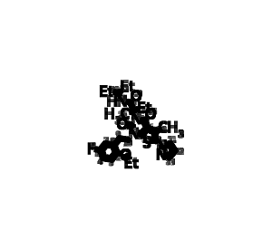 CCOc1ccc(F)cc1CCn1c(=O)n(C(C)(CC)C(=O)NC(CC)CC)c(=O)c2c(C)c(-n3cccn3)sc21